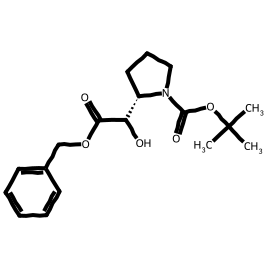 CC(C)(C)OC(=O)N1CCC[C@H]1C(O)C(=O)OCc1ccccc1